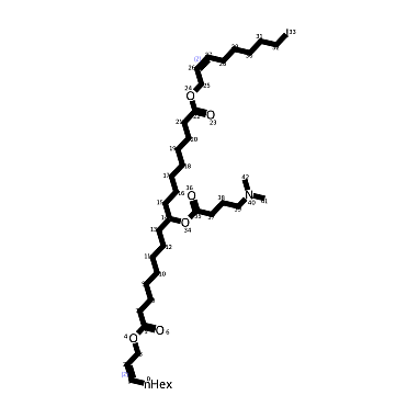 CCCCCC/C=C\COC(=O)CCCCCCCC(CCCCCCCC(=O)OC/C=C\CCCCCI)OC(=O)CCCN(C)C